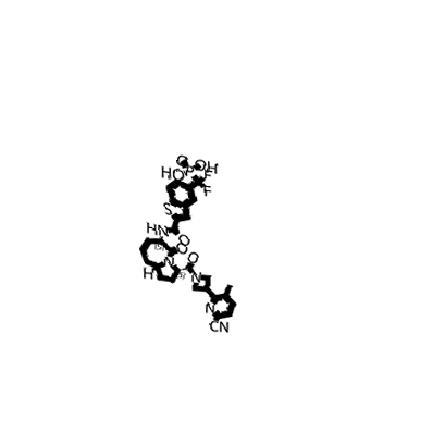 Cc1ccc(C#N)nc1C1CN(C(=O)[C@@H]2CC[C@@H]3CCC[C@H](NC(=O)c4cc5cc(C(F)(F)P(=O)(O)O)ccc5s4)C(=O)N32)C1